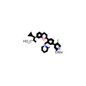 COc1cc(-c2ccc(C3CCc4ccc([C@H](C5CC5)[C@H](C)C(=O)O)cc4O3)c(CN3CCCC[C@@H]3C)c2)c(F)cn1